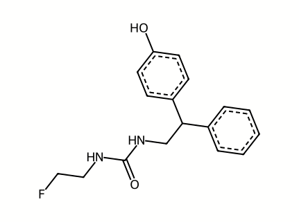 O=C(NCCF)NCC(c1ccccc1)c1ccc(O)cc1